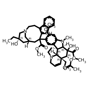 CC[C@]1(O)C[C@@H]2CN(CCc3c([nH]c4ccccc34)C(C(=O)OC)(c3cc4c(cc3OC)N(C)[C@H]3C(O)(C(=O)OC)[C@H](OC(C)=O)[C@]5(CC)C=CCN6CC[C@]43[C@@H]65)C2)C1